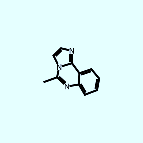 Cc1nc2ccccc2c2nccn12